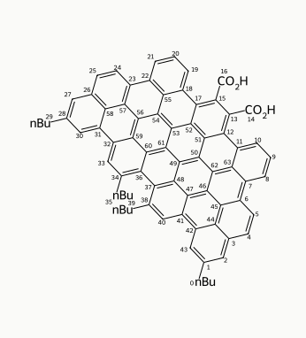 CCCCc1cc2ccc3c4cccc5c6c(C(=O)O)c(C(=O)O)c7c8cccc9c%10ccc%11cc(CCCC)cc%12c%13cc(CCCC)c%14c%15c(CCCC)cc%16c(c1)c2c3c1c%16c%15c2c(c6c7c3c(c98)c(c%10c%11%12)c%13c%14c32)c1c45